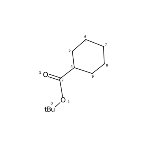 CC(C)(C)OC(=O)C1C[CH]CCC1